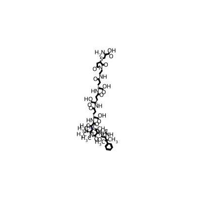 CN[C@H](C(=O)NC(C(=O)N(C)[C@H](/C=C(\C)C(=O)N[C@H](CCC(=O)N[C@H](CCC(=O)N[C@H](CCC(=O)NCCN1C(=O)CC(SC[C@H](N)C(=O)O)C1=O)C(=O)O)C(=O)O)C(=O)O)C(C)C)C(C)(C)C)C(C)(C)c1ccccc1